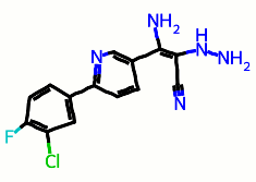 N#C/C(NN)=C(/N)c1ccc(-c2ccc(F)c(Cl)c2)nc1